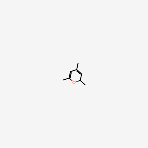 CC1=CC(C)OC(C)=C1